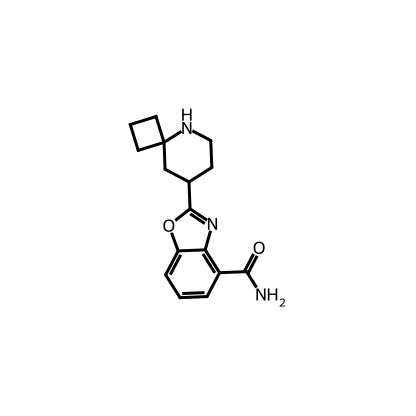 NC(=O)c1cccc2oc(C3CCNC4(CCC4)C3)nc12